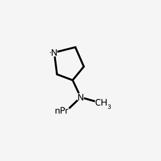 CCCN(C)C1CC[N]C1